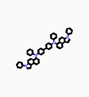 c1ccc(N(c2ccc(-c3ccc(N(c4ccccc4)c4cccc5c4ccc4c5ccn4-c4ccccc4)cc3)cc2)c2cccc3c2ccc2c3ccn2-c2ccccc2)cc1